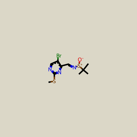 CSc1ncc(Br)c(/C=N/[S+]([O-])C(C)(C)C)n1